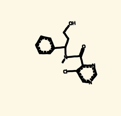 CN(C(=O)c1ncncc1Cl)C(CCO)c1ccccc1